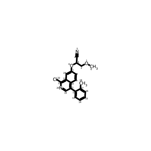 COCC(C#N)Oc1ccc2c(-c3ccccc3C)cnc(Cl)c2c1